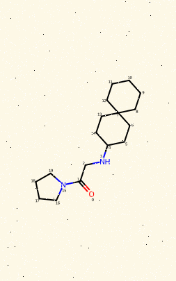 O=C(CNC1CCC2(CCCCC2)CC1)N1CCCC1